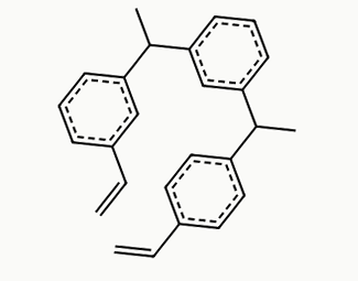 C=Cc1ccc(C(C)c2cccc(C(C)c3cccc(C=C)c3)c2)cc1